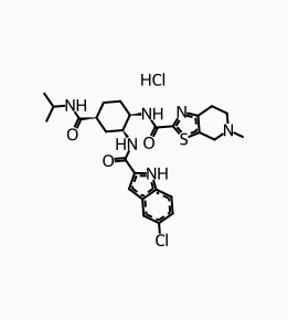 CC(C)NC(=O)[C@H]1CC[C@@H](NC(=O)c2nc3c(s2)CN(C)CC3)[C@@H](NC(=O)c2cc3cc(Cl)ccc3[nH]2)C1.Cl